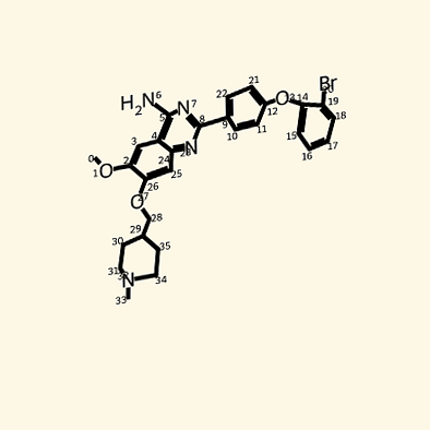 COc1cc2c(N)nc(-c3ccc(Oc4ccccc4Br)cc3)nc2cc1OCC1CCN(C)CC1